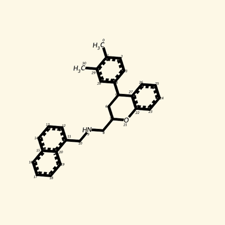 Cc1ccc(C2CC(CNCc3cccc4ccccc34)Oc3ccccc32)cc1C